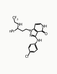 CCCC(CCn1nc(Nc2ccc(Cl)cc2)c2c(=O)[nH]ccc21)NCC(F)(F)F